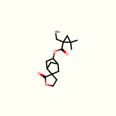 CC(C)(C)CC1(C(=O)OC2CC3CC2CC32CCOC2=O)CC1(C)C